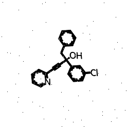 O[C@@](C#Cc1ccccn1)(Cc1ccccc1)c1cccc(Cl)c1